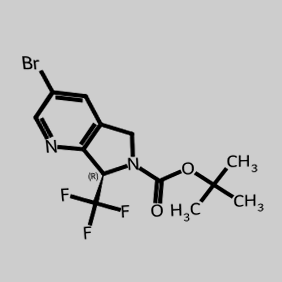 CC(C)(C)OC(=O)N1Cc2cc(Br)cnc2[C@@H]1C(F)(F)F